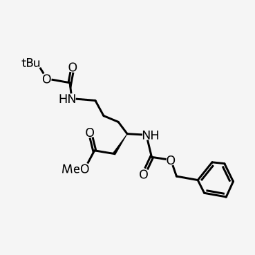 COC(=O)C[C@@H](CCCNC(=O)OC(C)(C)C)NC(=O)OCc1ccccc1